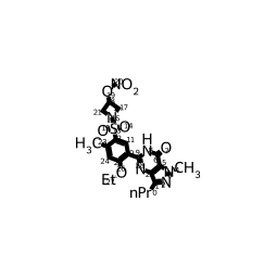 CCCc1nn(C)c2c(=O)[nH]c(-c3cc(S(=O)(=O)N4CC(O[N+](=O)[O-])C4)c(C)cc3OCC)nc12